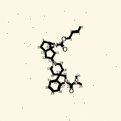 CC=CCOC(=O)N1C2CCC3CC(N4CCC5(CC4)CN(C(=O)N(C)C)c4ccccc45)CC321